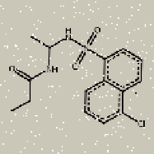 CCC(=O)NC(C)NS(=O)(=O)c1cccc2c(Cl)cccc12